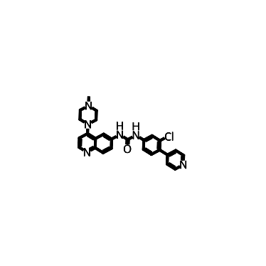 CN1CCN(c2ccnc3ccc(NC(=O)Nc4ccc(-c5ccncc5)c(Cl)c4)cc23)CC1